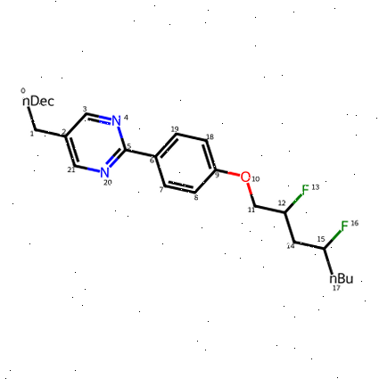 CCCCCCCCCCCc1cnc(-c2ccc(OCC(F)CC(F)CCCC)cc2)nc1